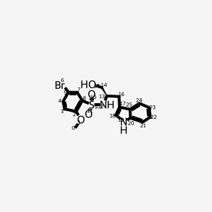 COc1ccc(Br)cc1S(=O)(=O)N[C@@H](CO)Cc1c[nH]c2ccccc12